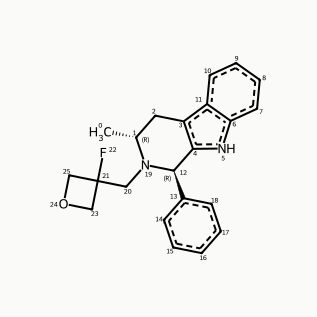 C[C@@H]1Cc2c([nH]c3ccccc23)[C@@H](c2[c]cccc2)N1CC1(F)COC1